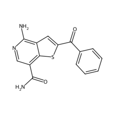 NC(=O)c1cnc(N)c2cc(C(=O)c3ccccc3)sc12